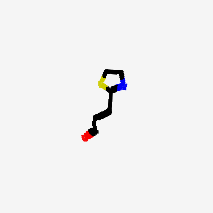 O=[C]C=CC1=NCCS1